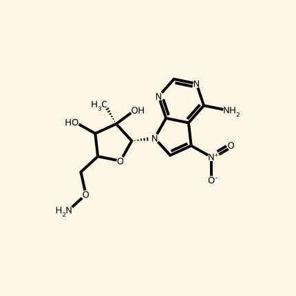 C[C@@]1(O)C(O)C(CON)O[C@H]1n1cc([N+](=O)[O-])c2c(N)ncnc21